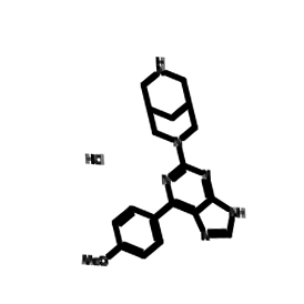 COc1ccc(-c2nc(N3CC4CNCC(C4)C3)nc3[nH]cnc23)cc1.Cl